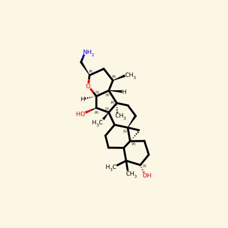 C[C@@H]1C[C@H](CN)O[C@H]2[C@H]1[C@@]1(C)CC[C@@]34C[C@@]35CC[C@H](O)C(C)(C)C5CCC4[C@]1(C)[C@H]2O